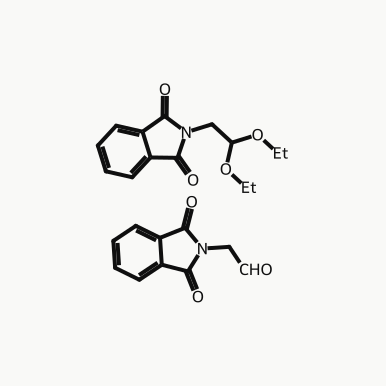 CCOC(CN1C(=O)c2ccccc2C1=O)OCC.O=CCN1C(=O)c2ccccc2C1=O